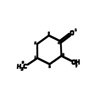 CC1CCC(=O)C(O)C1